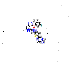 C[C@H](NC(=O)c1cccnc1NCc1ccc(-c2cn3ccnc3cn2)s1)c1ccc(F)cc1